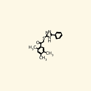 Cc1cc(C)c(C(=O)CSc2nnc(-c3ccccc3)[nH]2)cc1C